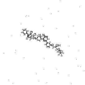 Cc1c(C(=O)Nc2ccc(-c3nc(-c4cccc(OCC(O)CO[Si](C)(C)C(C)(C)C)c4)cnc3N)cc2)c(=O)n(-c2ccccc2)n1C